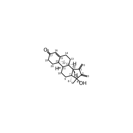 C=C1C(=C)C(C)(O)[C@@]2(C)CC[C@@H]3[C@@H](CCC4=CC(=O)CC[C@@]43C)[C@H]12